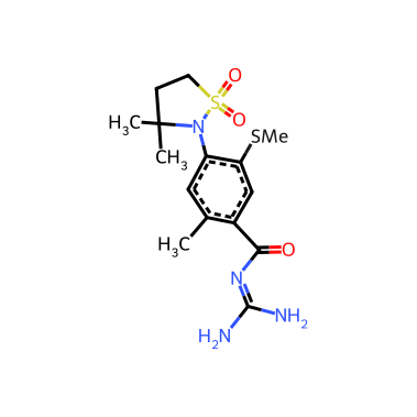 CSc1cc(C(=O)N=C(N)N)c(C)cc1N1C(C)(C)CCS1(=O)=O